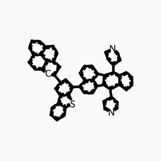 c1cc2ccc3cc(-c4cc(-c5ccc6c7c(cccc57)-c5c-6c(-c6ccncc6)c6ccccc6c5-c5ccncc5)c5sc6ccccc6c5c4)cc4ccc(c1)c2c34